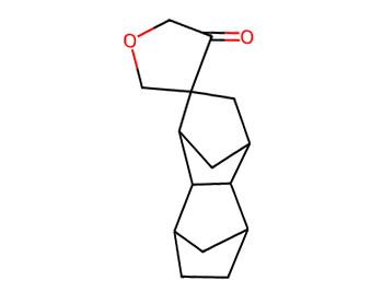 O=C1COCC12CC1CC2C2C3CCC(C3)C12